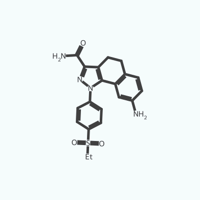 CCS(=O)(=O)c1ccc(-n2nc(C(N)=O)c3c2-c2cc(N)ccc2CC3)cc1